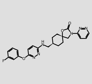 O=C1O[C@]2(CC[C@H](CNc3ccc(Oc4cccc(F)c4)nn3)CC2)CN1c1cccnn1